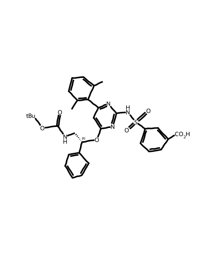 Cc1cccc(C)c1-c1cc(O[C@@H](CNC(=O)OC(C)(C)C)c2ccccc2)nc(NS(=O)(=O)c2cccc(C(=O)O)c2)n1